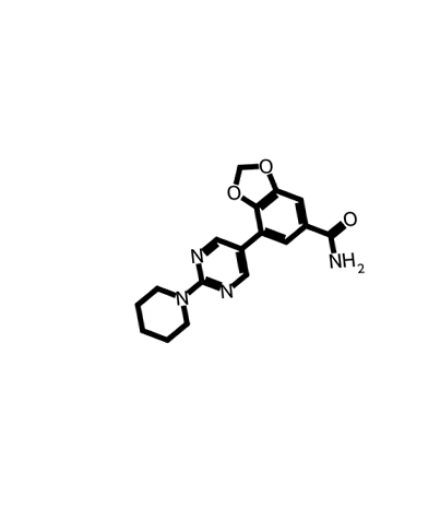 NC(=O)c1cc2c(c(-c3cnc(N4CCCCC4)nc3)c1)OCO2